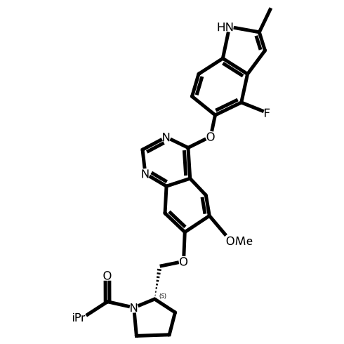 COc1cc2c(Oc3ccc4[nH]c(C)cc4c3F)ncnc2cc1OC[C@@H]1CCCN1C(=O)C(C)C